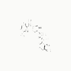 CN(C)c1ccnc(NC2CCC(NC(=O)Nc3cccc(Cl)c3Cl)CC2)n1.Cl